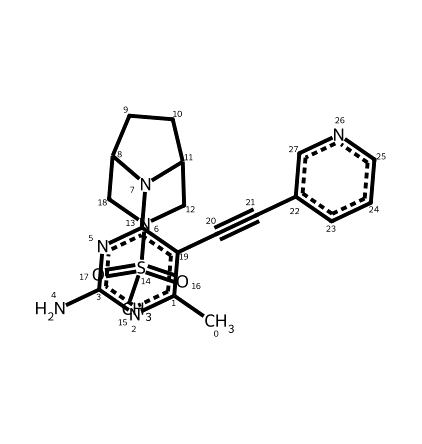 Cc1nc(N)nc(N2C3CCC2CN(S(C)(=O)=O)C3)c1C#Cc1cccnc1